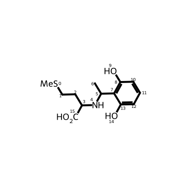 CSCCC(NC(C)c1c(O)cccc1O)C(=O)O